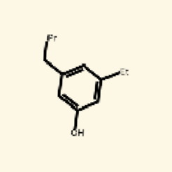 CCc1cc(O)cc(CC(C)C)c1